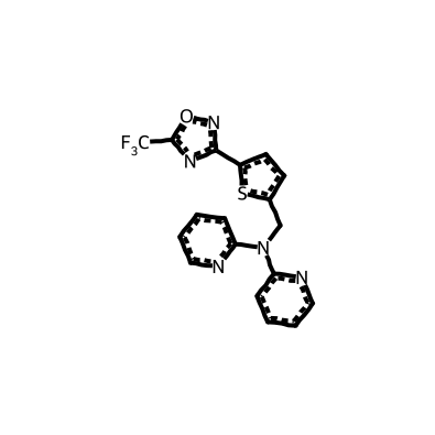 FC(F)(F)c1nc(-c2ccc(CN(c3ccccn3)c3ccccn3)s2)no1